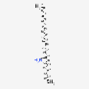 CCCCCCCCCCCCCCCCCCCCC(CN)CCCCCCCCC